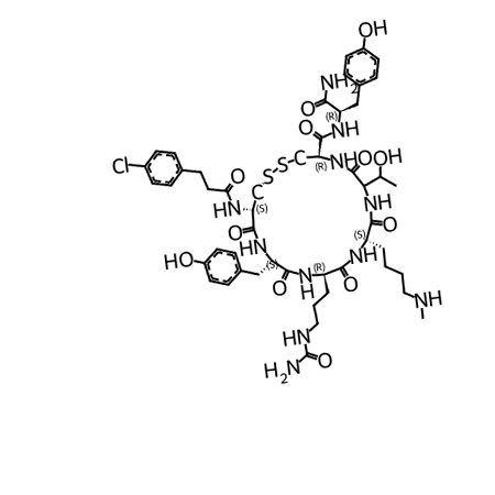 CNCCCC[C@@H]1NC(=O)[C@@H](CCCNC(N)=O)NC(=O)[C@H](Cc2ccc(O)cc2)NC(=O)[C@H](NC(=O)CCc2ccc(Cl)cc2)CSSC[C@@H](C(=O)N[C@H](Cc2ccc(O)cc2)C(N)=O)NC(=O)C(C(C)O)NC1=O